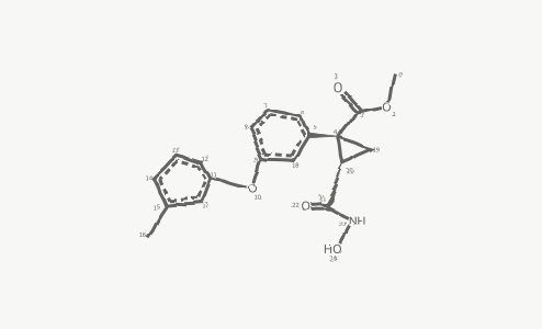 COC(=O)[C@]1(c2cccc(Oc3cccc(C)c3)c2)C[C@H]1C(=O)NO